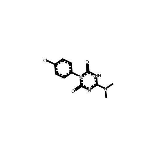 CN(C)c1nc(=O)n(-c2ccc(Cl)cc2)c(=O)[nH]1